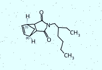 CCCCC(CC)CN1C(=O)C2C(C1=O)[C@H]1C=C[C@@H]2C1